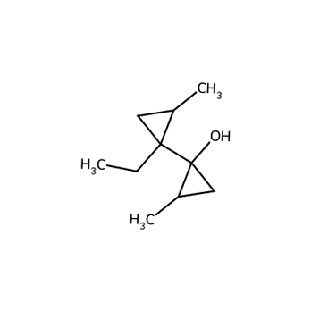 CCC1(C2(O)CC2C)CC1C